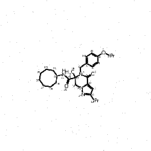 CC(C)Oc1ccc(CN2C(=O)c3cc(C(C)C)nn3CC2(C)C(=O)NC2CCCCCCC2)cc1